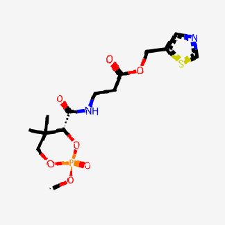 [CH2]O[P@@]1(=O)OCC(C)(C)[C@H](C(=O)NCCC(=O)OCc2cncs2)O1